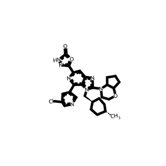 C[C@H]1CC[C@H](Cn2c(N3CCOC4CCCC43)nc3cc(-c4n[nH]c(=O)o4)nc(-c4cncc(Cl)c4)c32)CC1